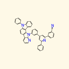 N#Cc1cccc(-c2cc(-c3cccc(-n4c5ncccc5c5ccc6c(c7ccccc7n6-c6ccccc6)c54)c3)cc(-c3ccccc3)n2)c1